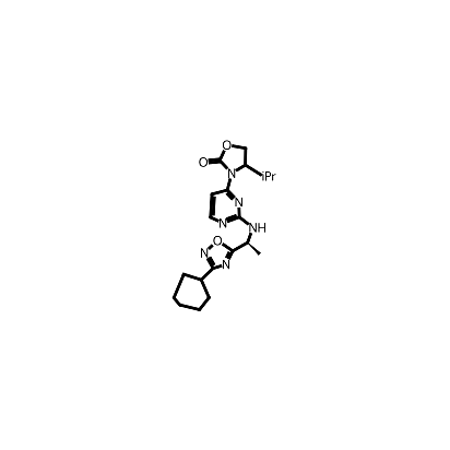 CC(C)C1COC(=O)N1c1ccnc(N[C@@H](C)c2nc(C3CCCCC3)no2)n1